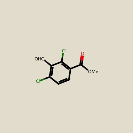 COC(=O)c1ccc(Cl)c(C=O)c1Cl